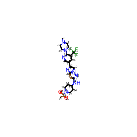 CN1CCN(c2ncc(-c3cn4nc(NC5CCN(S(C)(=O)=O)CC5)sc4n3)cc2C(F)(F)F)CC1